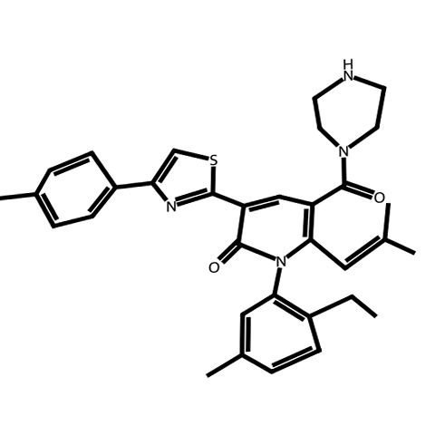 CCc1ccc(C)cc1-n1c(C=C(C)C)c(C(=O)N2CCNCC2)cc(-c2nc(-c3ccc(Cl)cc3)cs2)c1=O